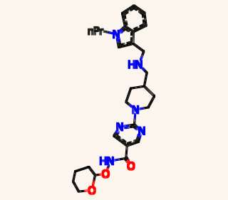 CCCn1cc(CNCC2CCN(c3ncc(C(=O)NOC4CCCCO4)cn3)CC2)c2ccccc21